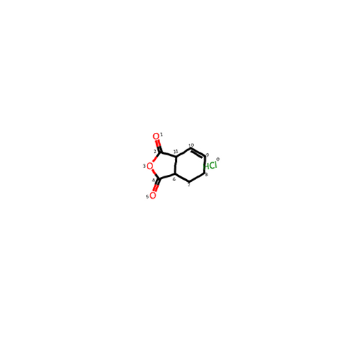 Cl.O=C1OC(=O)C2CCC=CC12